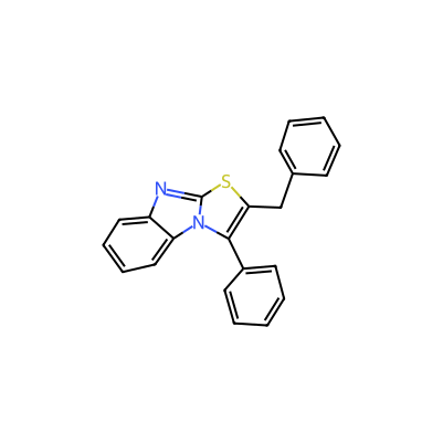 c1ccc(Cc2sc3nc4ccccc4n3c2-c2ccccc2)cc1